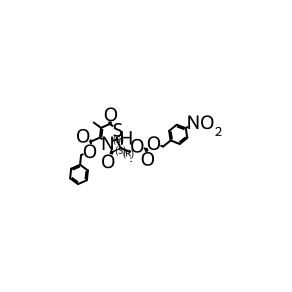 CC1=C(C(=O)OCc2ccccc2)N2C(=O)[C@H]([C@@H](C)OC(=O)OCc3ccc([N+](=O)[O-])cc3)[C@@H]2SC1=O